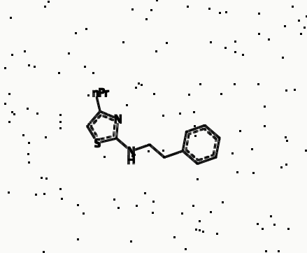 CCCc1csc(NCCc2ccccc2)n1